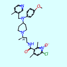 COc1ccc(N(Cc2cnccc2C)C2CCN([C@H](C)CCNC(=O)c3c(C)cc(Cl)[n+]([O-])c3C)CC2)cc1